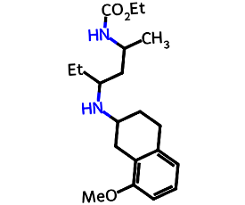 CCOC(=O)NC(C)CC(CC)NC1CCc2cccc(OC)c2C1